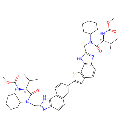 COC(=O)N[C@H](C(=O)N(Cc1nc2ccc3cc(-c4cc5ccc6nc(CN(C(=O)[C@@H](NC(=O)OC)C(C)C)C7CCCCC7)[nH]c6c5s4)ccc3c2[nH]1)C1CCCCC1)C(C)C